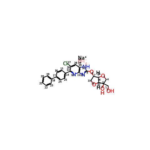 OC[C@@]1(O)CO[C@@H]2[C@H](Oc3nc4nc(-c5ccc(-c6ccccc6)cc5)c(Cl)cc4[nH]3)CO[C@@H]21.[BH4-].[Na+]